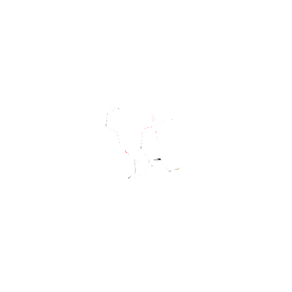 B[C@@H]1O[C@H](CCS)C(OP(=O)(O)O)[C@@H]1OCCOC